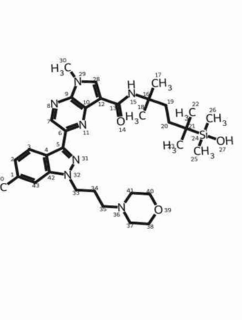 Cc1ccc2c(-c3cnc4c(n3)c(C(=O)NC(C)(C)CCC(C)(C)[Si](C)(C)O)cn4C)nn(CCCN3CCOCC3)c2c1